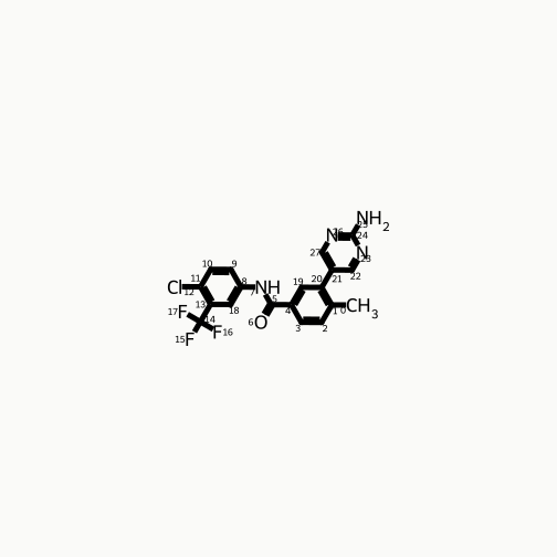 Cc1ccc(C(=O)Nc2ccc(Cl)c(C(F)(F)F)c2)cc1-c1cnc(N)nc1